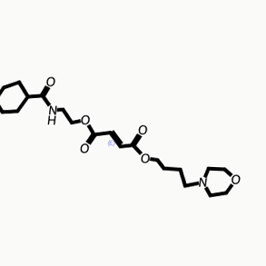 O=C(/C=C/C(=O)OCCNC(=O)C1CCCCC1)OCCCCN1CCOCC1